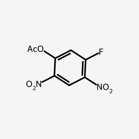 CC(=O)Oc1cc(F)c([N+](=O)[O-])cc1[N+](=O)[O-]